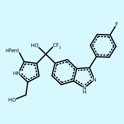 CCCCCc1[nH]c(CO)cc1C(O)(c1ccc2[nH]nc(-c3ccc(F)cc3)c2c1)C(F)(F)F